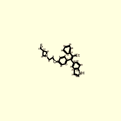 CC/C(=C(/c1ccc(OCCN2CC(CF)C2)cc1)c1ccc2[nH]ncc2c1)c1ccccc1